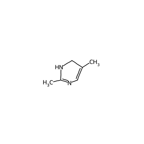 CC1=CN=C(C)NC1